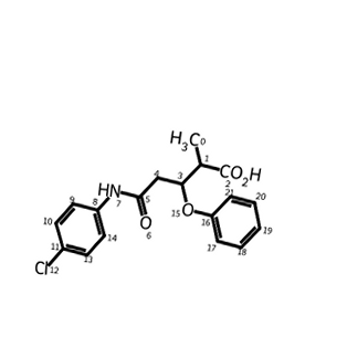 CC(C(=O)O)C(CC(=O)Nc1ccc(Cl)cc1)Oc1ccccc1